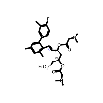 CCOC(=O)C[C@@H](C[C@@H](/C=C/c1c(C)cc(C)cc1-c1ccc(F)c(C)c1)OC(=O)CN(C)C)OC(=O)CN(C)C